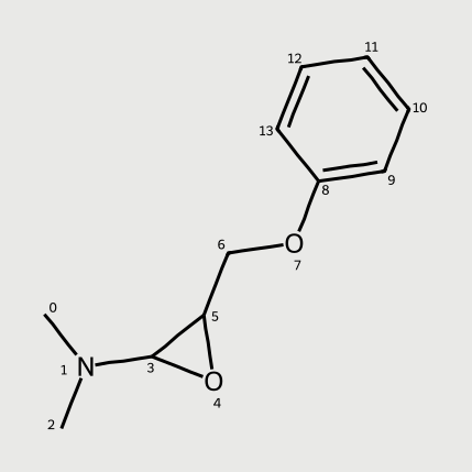 CN(C)C1OC1COc1ccccc1